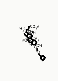 C[C@H](CCC(=O)O)[C@H]1CC[C@H]2[C@@H]3[C@H](O)C[C@@H]4C[C@@](O)(OCCOCc5ccccc5)CC[C@]4(C)[C@H]3C[C@H](O)[C@]12C